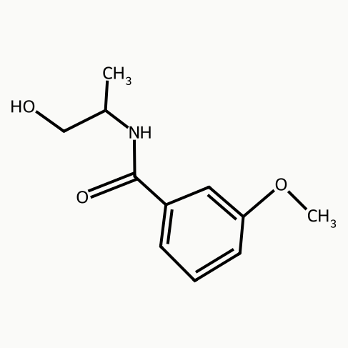 COc1cccc(C(=O)NC(C)CO)c1